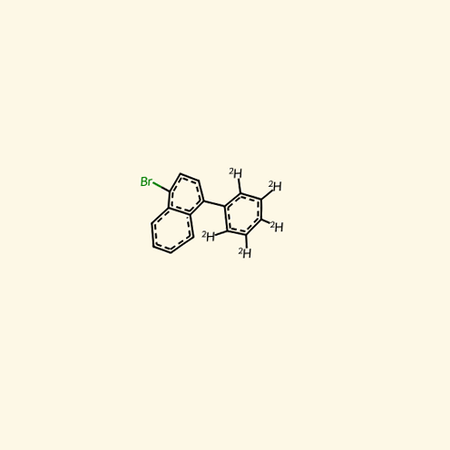 [2H]c1c([2H])c([2H])c(-c2ccc(Br)c3ccccc23)c([2H])c1[2H]